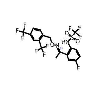 C/C(=N\OCc1ccc(C(F)(F)F)cc1C(F)(F)F)c1cc(F)ccc1NS(=O)(=O)C(F)(F)F